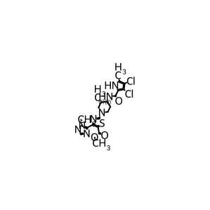 COC(=O)c1sc(N2CC[C@@H](NC(=O)c3[nH]c(C)c(Cl)c3Cl)[C@@H](C)C2)nc1-c1ncnn1C